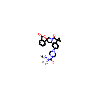 CN(C)C(=O)N1CCN(c2ccc(C3(C(=O)N4CCC5(C4)OC(=O)c4ccccc45)CC3)cc2)CC1